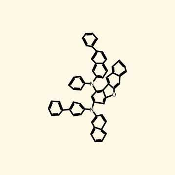 c1ccc(-c2ccc(N(c3ccc4ccccc4c3)c3cc(N(c4ccccc4)c4ccc5ccc(-c6ccccc6)cc5c4)c4c(c3)oc3cc5ccccc5cc34)cc2)cc1